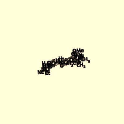 CCc1ccc(NS(=O)(=O)c2ccc(CCNC(=O)c3ccc(-c4ccc(C5=N[C@@H](CC(=O)OC)c6nnc(C)n6-c6sc(C)c(C)c65)cc4)cc3C)cc2)c2[nH]cc(C#N)c12